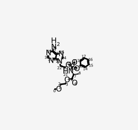 COCCOC(=O)[C@H](C)NP(=O)(Oc1ccccc1)O[C@H](C)Cn1cnc2c(N)ncnc21